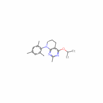 CCC(CC)Oc1nc(C)nc2c1CCCN2c1c(C)cc(C)cc1C